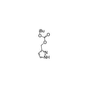 CCC(C)OC(=O)OCc1cc[nH]n1